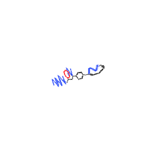 [N-]=[N+]=NCC1CC(c2ccc(-c3ccccn3)cc2)=NO1